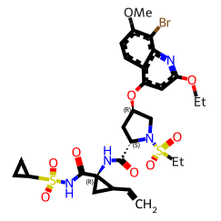 C=CC1C[C@]1(NC(=O)[C@@H]1C[C@@H](Oc2cc(OCC)nc3c(Br)c(OC)ccc23)CN1S(=O)(=O)CC)C(=O)NS(=O)(=O)C1CC1